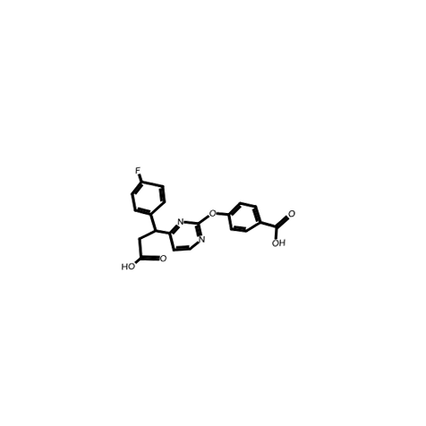 O=C(O)CC(c1ccc(F)cc1)c1ccnc(Oc2ccc(C(=O)O)cc2)n1